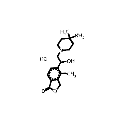 Cc1c(C(O)CN2CCC(C)(N)CC2)ccc2c1COC2=O.Cl